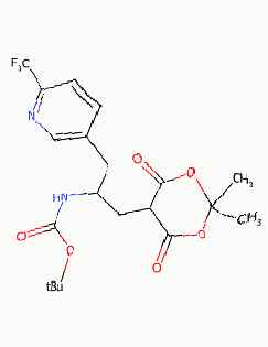 CC(C)(C)OC(=O)NC(Cc1ccc(C(F)(F)F)nc1)CC1C(=O)OC(C)(C)OC1=O